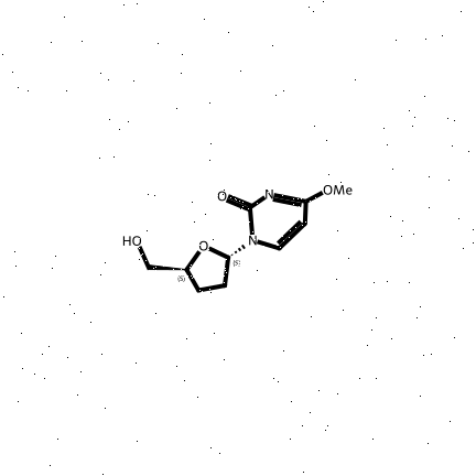 COc1ccn([C@@H]2CC[C@@H](CO)O2)c(=O)n1